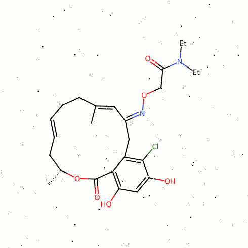 CCN(CC)C(=O)CO/N=C1\C=C(/C)CC/C=C/C[C@@H](C)OC(=O)c2c(O)cc(O)c(Cl)c2C1